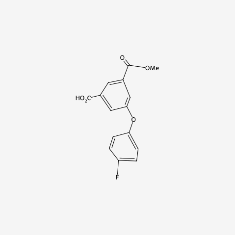 COC(=O)c1cc(Oc2ccc(F)cc2)cc(C(=O)O)c1